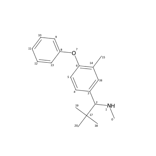 CNC(c1ccc(Oc2ccccc2)c(C)c1)C(C)(C)C